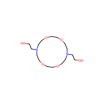 OCCN1CCOCCOCCN(CCO)CCOCCOCC1